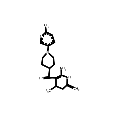 C=C1CC(C(F)(F)F)C(C(=N)C2CCN(c3ccc(C(F)(F)F)nc3)CC2)=C(N)N1